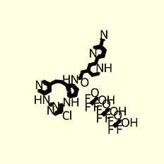 N#Cc1ccc(C2CC(CC(=O)Nc3ccc4cc3CCc3cncc(c3)Nc3ncc(Cl)c(n3)N4)CCN2)nc1.O=C(O)C(F)(F)F.O=C(O)C(F)(F)F.O=C(O)C(F)(F)F